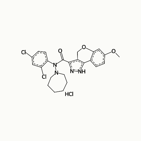 COc1ccc2c(c1)OCc1c(C(=O)N(c3ccc(Cl)cc3Cl)N3CCCCCC3)n[nH]c1-2.Cl